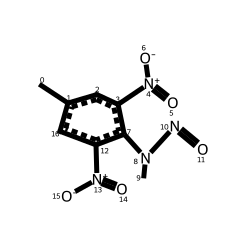 Cc1cc([N+](=O)[O-])c(N(C)N=O)c([N+](=O)[O-])c1